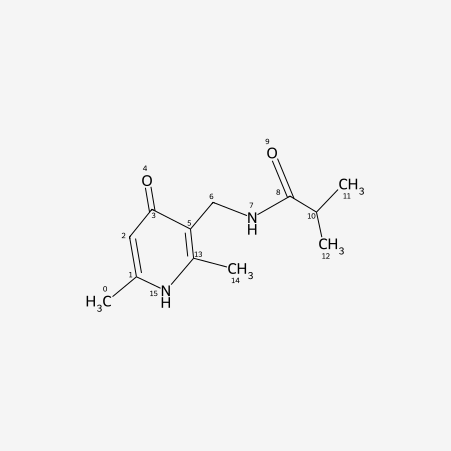 Cc1cc(=O)c(CNC(=O)C(C)C)c(C)[nH]1